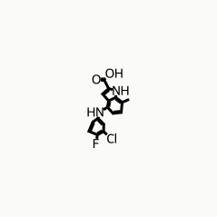 Cc1ccc(Nc2ccc(F)c(Cl)c2)c2cc(C(=O)O)[nH]c12